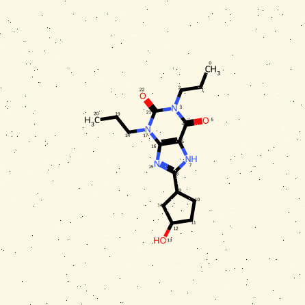 CCCn1c(=O)c2[nH]c(C3CCC(O)C3)nc2n(CCC)c1=O